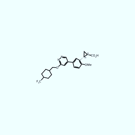 COc1ccc(-c2cnnc(OCC3CCC(C(F)(F)F)CC3)c2)cc1[C@@H]1C[C@H]1C(=O)O